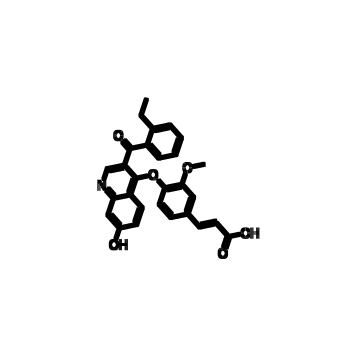 CCc1ccccc1C(=O)c1cnc2cc(O)ccc2c1Oc1ccc(/C=C/C(=O)O)cc1OC